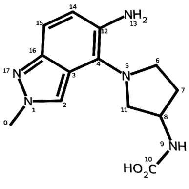 Cn1cc2c(N3CCC(NC(=O)O)C3)c(N)ccc2n1